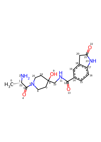 C[C@H](N)C(=O)N1CCC(O)(CNC(=O)c2ccc3c(c2)CC(=O)N3)CC1